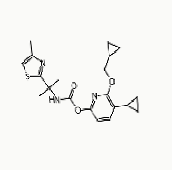 Cc1csc(C(C)(C)NC(=O)Oc2ccc(C3CC3)c(OCC3CC3)n2)n1